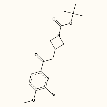 COc1ccc(C(=O)CC2CN(C(=O)OC(C)(C)C)C2)nc1Br